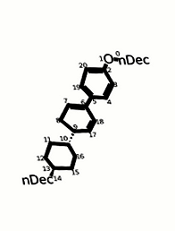 CCCCCCCCCCOc1ccc(C2=CCC([C@H]3CC[C@H](CCCCCCCCCC)CC3)C=C2)cc1